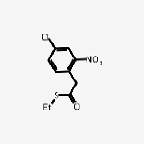 CCSC(=O)Cc1ccc(Cl)cc1[N+](=O)[O-]